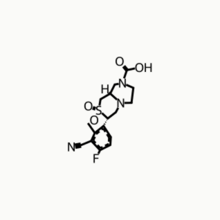 Cc1c([C@H]2CN3CCN(C(=O)O)C[C@H]3CS2(=O)=O)ccc(F)c1C#N